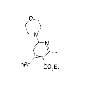 CCCc1cc(N2CCOCC2)nc(C)c1C(=O)OCC